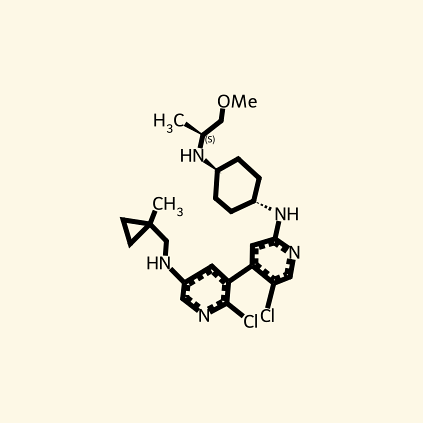 COC[C@H](C)N[C@H]1CC[C@H](Nc2cc(-c3cc(NCC4(C)CC4)cnc3Cl)c(Cl)cn2)CC1